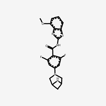 COc1cccc2sc(NC(=O)c3c(F)cc(N4CC5CC(C4)N5)cc3F)nc12